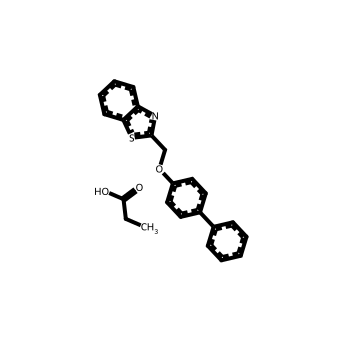 CCC(=O)O.c1ccc(-c2ccc(OCc3nc4ccccc4s3)cc2)cc1